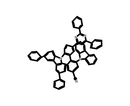 N#Cc1ccc(-c2cc(-c3cc(-c4ccccc4)nc(-c4ccccc4)n3)ccc2-n2c3ccc(-c4ccccc4)cc3c3cc(-c4ccccc4)ccc32)c(-n2c3ccccc3c3ccccc32)c1